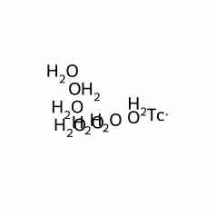 O.O.O.O.O.O.O.[Tc]